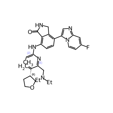 C=C(/C(CN(CC)CC)=N\C(=C/C)Nc1ccc(-c2cnc3cc(F)ccn23)c2c1C(=O)NC2)[C@H]1CCOC1